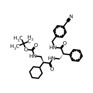 CC(C)(C)OC(=O)NC[C@@H](C(=O)NC[C@H](C(=O)NCc1ccc(C#N)cc1)c1ccccc1)C1CCCCC1